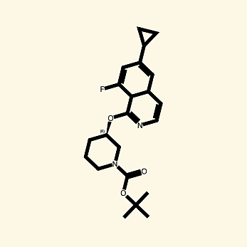 CC(C)(C)OC(=O)N1CCC[C@@H](OC2=NC=CC3C=C(C4CC4)C=C(F)C23)C1